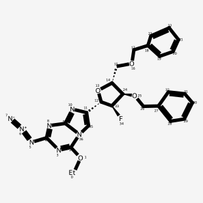 CCOc1nc(N=[N+]=[N-])nc2nc([C@@H]3O[C@H](COCc4ccccc4)[C@@H](OCc4ccccc4)[C@H]3F)cn12